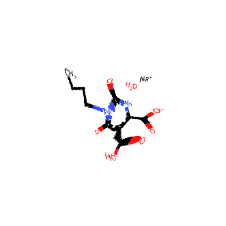 CCCCn1c(=O)[nH]c(C(=O)[O-])c(C(=O)O)c1=O.O.[Na+]